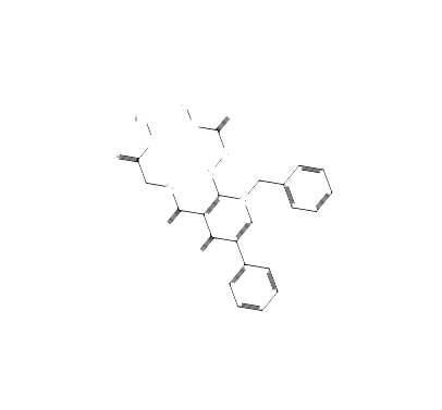 CC(C)OC(=O)CNC(=O)c1c(NNC(=O)OC(C)(C)C)n(Cc2ccccc2)cc(-c2ccccc2)c1=O